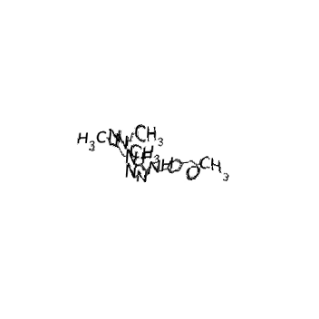 CCCn1nc(C)cc1CN(C)c1ncnc(NCc2ccc(CC(C)=O)cc2)c1F